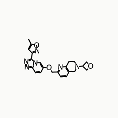 Cc1cc(-c2nnc3ccc(OCc4ccc5c(n4)CCN(C4COC4)C5)cn23)no1